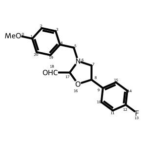 COc1ccc(CN2CC(c3ccc(F)cc3)OC2C=O)cc1